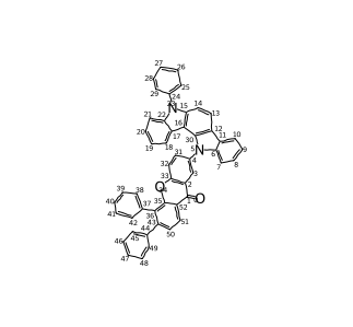 O=c1c2cc(-n3c4ccccc4c4ccc5c(c6ccccc6n5-c5ccccc5)c43)ccc2oc2c(-c3ccccc3)c(-c3ccccc3)ccc12